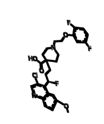 COc1ccc2ncc(Cl)c([C@H](F)CCC3(C(=O)O)CCN(CCOc4cc(F)ccc4F)CC3)c2c1